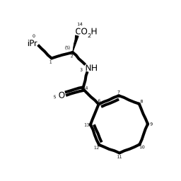 CC(C)C[C@H](NC(=O)C1=CCCCCC=C1)C(=O)O